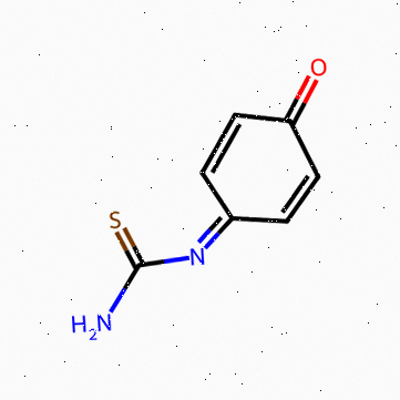 NC(=S)N=C1C=CC(=O)C=C1